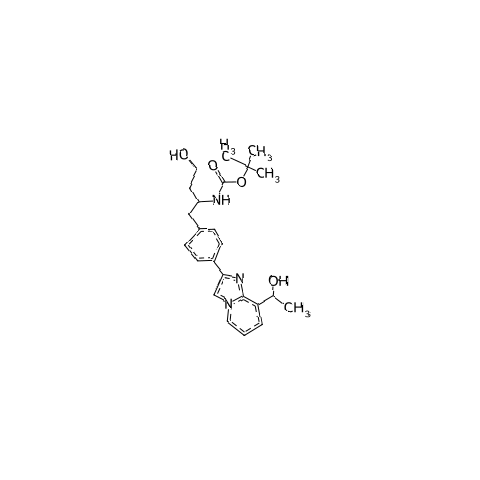 CC(O)c1cccn2cc(-c3ccc(CC(CCO)NC(=O)OC(C)(C)C)cc3)nc12